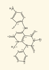 Bc1ccc(Nc2cc(=O)n(C)c3c2c(=O)n(CC)c(=O)n3-c2cccnc2)c(F)c1